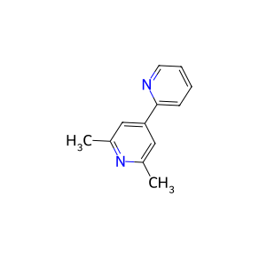 Cc1cc(-c2ccccn2)cc(C)n1